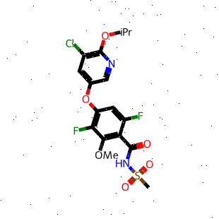 COc1c(F)c(Oc2cnc(OC(C)C)c(Cl)c2)cc(F)c1C(=O)NS(C)(=O)=O